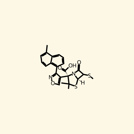 CSC1C(=O)N2[C@@H]1SC(C)(C)[C@@]2(C(=O)O)c1conc1-c1cccc2c(C)cccc12